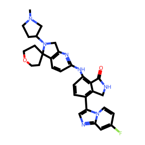 CN1CCC(N2Cc3nc(Nc4ccc(-c5cnc6cc(F)ccn56)c5c4C(=O)NC5)ccc3C23CCOCC3)C1